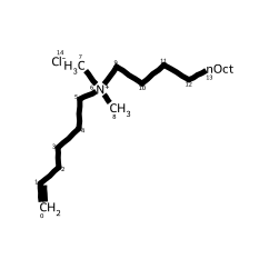 C=CCCCC[N+](C)(C)CCCCCCCCCCCC.[Cl-]